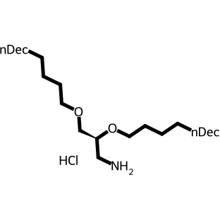 CCCCCCCCCCCCCCOC[C@H](CN)OCCCCCCCCCCCCCC.Cl